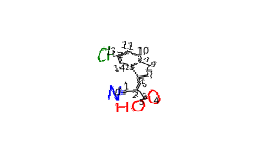 N#C/C(C(=O)O)=C1/CCc2ccc(Cl)cc21